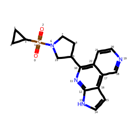 O=S(=O)(C1CC1)N1CCC(c2nc3[nH]ccc3c3cnccc23)C1